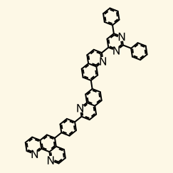 c1ccc(-c2cc(-c3ccc4ccc(-c5ccc6ccc(-c7ccc(-c8cc9cccnc9c9ncccc89)cc7)nc6c5)cc4n3)nc(-c3ccccc3)n2)cc1